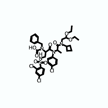 CCOC(CN(C(=O)C(C)N(C(=O)C(CNS(=O)(=O)c1ccc(Cl)cc1Cl)N(Cc1ccccc1)C(=O)O)c1ccc(Cl)cc1)C1CCC1)OCC